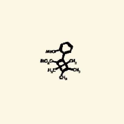 CCOC(=O)C1=C(c2ccccc2OC)C2(C)C(C)=C(C)C12C